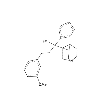 COc1cccc(CCC(O)(c2ccccc2)C2CN3CCC2CC3)c1